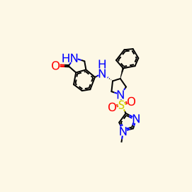 Cn1cnc(S(=O)(=O)N2C[C@H](Nc3cccc4c3CNC4=O)[C@@H](c3ccccc3)C2)c1